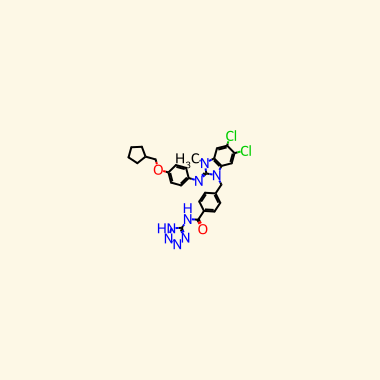 Cn1c(=Nc2ccc(OCC3CCCC3)cc2)n(Cc2ccc(C(=O)Nc3nnn[nH]3)cc2)c2cc(Cl)c(Cl)cc21